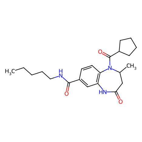 CCCCCNC(=O)c1ccc2c(c1)NC(=O)CC(C)N2C(=O)C1CCCC1